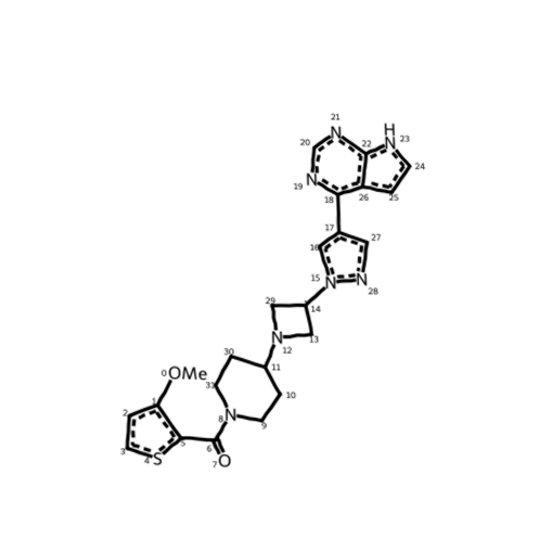 COc1ccsc1C(=O)N1CCC(N2C[C](n3cc(-c4ncnc5[nH]ccc45)cn3)C2)CC1